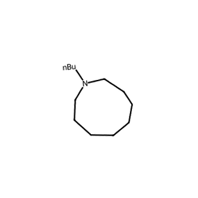 [CH2]CCCN1CCCCCCCC1